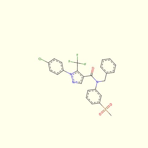 CS(=O)(=O)c1cccc(N(Cc2ccccc2)C(=O)c2cnn(-c3ccc(Cl)cc3)c2C(F)(F)F)c1